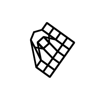 C1C2C3C4CC5C6C7C8CC9C%10C%11CC1C%111C%11C%12C2C32C45C63C%122C%112C%101C98C732